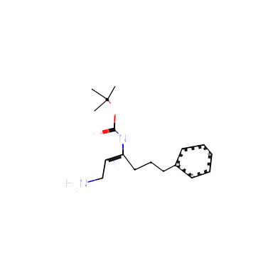 CC(C)(C)OC(=O)N/C(=C/CN)CCCc1ccccc1